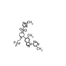 Cc1cc(-n2ncc3cc(C4CN(S(=O)(=O)c5cnn(C)n5)CCN4CCC(F)(F)F)c(C)cc32)ncn1